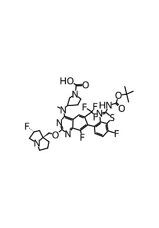 CN(c1nc(OC[C@@]23CCCN2C[C@H](F)C3)nc2c(F)c(-c3ccc(F)c4sc(NC(=O)OC(C)(C)C)nc34)c(C(F)(F)F)cc12)[C@@H]1CCN(C(=O)O)C1